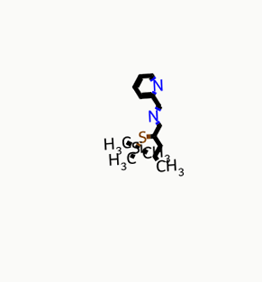 CCCC(C/N=C/c1ccccn1)S[Si](C)(C)C